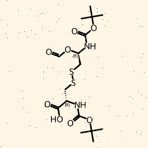 CC(C)(C)OC(=O)N[C@@H](CSSC[C@H](NC(=O)OC(C)(C)C)C(=O)O)OC=O